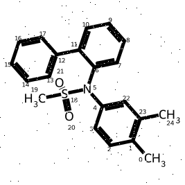 Cc1ccc(N(c2ccccc2-c2ccccc2)S(C)(=O)=O)cc1C